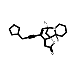 O=C1C=C2C(C#CCC3CCCC3)=C[C@@H]3C[C@@]2(O1)[C@H]1CCCCN31